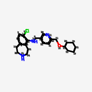 Clc1ccc2c(c1NCc1ccc(COC3CCCCC3)nc1)CCNCC2